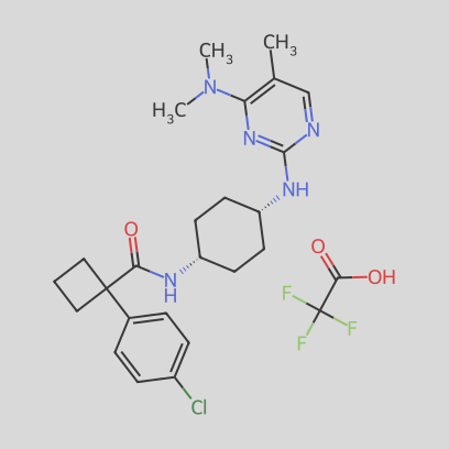 Cc1cnc(N[C@H]2CC[C@@H](NC(=O)C3(c4ccc(Cl)cc4)CCC3)CC2)nc1N(C)C.O=C(O)C(F)(F)F